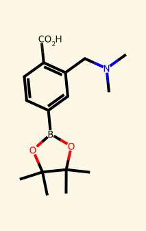 CN(C)Cc1cc(B2OC(C)(C)C(C)(C)O2)ccc1C(=O)O